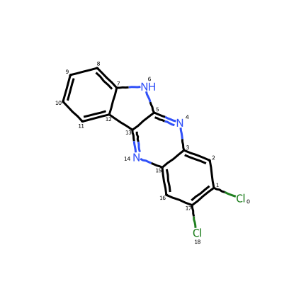 Clc1cc2nc3[nH]c4ccccc4c3nc2cc1Cl